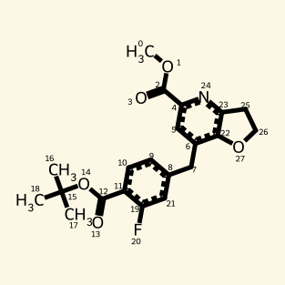 COC(=O)c1cc(Cc2ccc(C(=O)OC(C)(C)C)c(F)c2)c2c(n1)CCO2